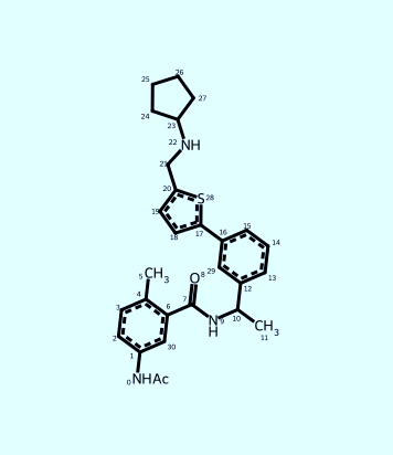 CC(=O)Nc1ccc(C)c(C(=O)NC(C)c2cccc(-c3ccc(CNC4CCCC4)s3)c2)c1